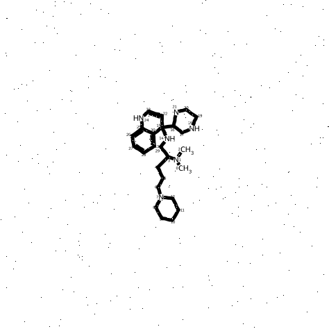 CN(C)C(CCCN1CCCCC1)CNC1(C2CNCC[N]2)C=CNc2ccccc21